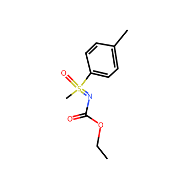 CCOC(=O)N=S(C)(=O)c1ccc(C)cc1